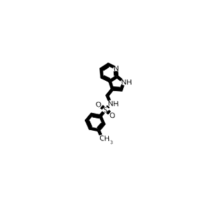 Cc1cccc(S(=O)(=O)NCc2c[nH]c3ncccc23)c1